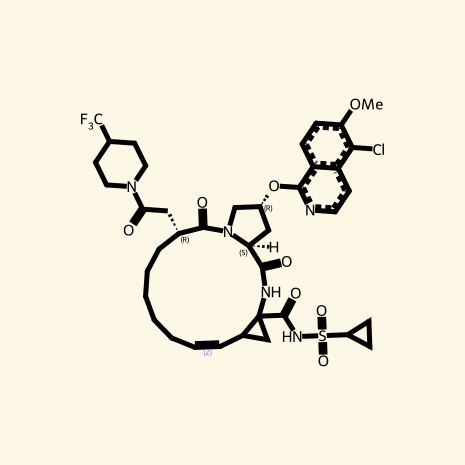 COc1ccc2c(O[C@@H]3C[C@H]4C(=O)NC5(C(=O)NS(=O)(=O)C6CC6)CC5/C=C\CCCCC[C@H](CC(=O)N5CCC(C(F)(F)F)CC5)C(=O)N4C3)nccc2c1Cl